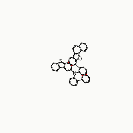 c1ccc(-c2ccccc2N(c2ccc3sc4ccccc4c3c2)c2ccccc2-c2cccc3c2oc2c4ccccc4ccc32)cc1